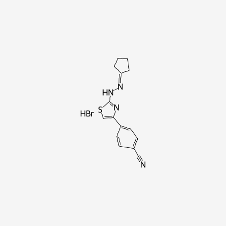 Br.N#Cc1ccc(-c2csc(NN=C3CCCC3)n2)cc1